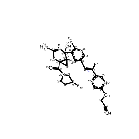 C#CCOc1cnc(/C(F)=C/c2cnc(F)c([C@@]3(C)N=C(N)S[C@@]4(C(=O)N5CC[C@H](F)C5)C[C@H]43)c2)cn1